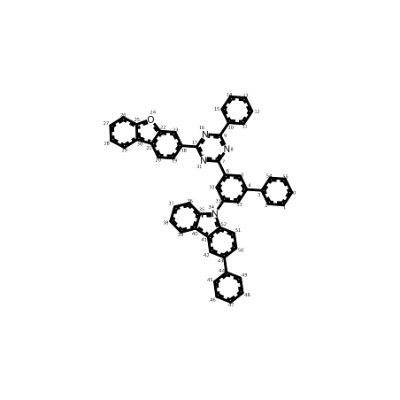 c1ccc(-c2cc(-c3nc(-c4ccccc4)nc(-c4ccc5c(c4)oc4ccccc45)n3)cc(-n3c4ccccc4c4cc(-c5ccccc5)ccc43)c2)cc1